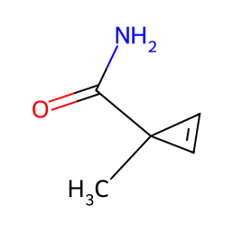 CC1(C(N)=O)C=C1